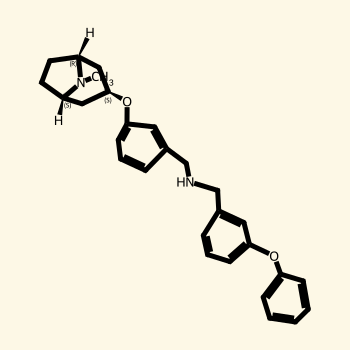 CN1[C@@H]2CC[C@H]1C[C@H](Oc1cccc(CNCc3cccc(Oc4ccccc4)c3)c1)C2